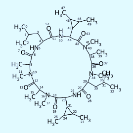 CC(C)CC1NC(=O)C(C)N(C)C(=O)C(C)N(C)C(=O)C(C2C(C)C2C)NC(=O)C(CC(C)C)N(C)C(=O)C(C)N(C)C(=O)C(C2C(C)C2C)NC1=O